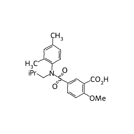 COc1ccc(S(=O)(=O)N(CC(C)C)c2ccc(C)cc2C)cc1C(=O)O